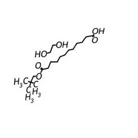 CC(C)(C)COC(=O)CCCCCCCCCCC(=O)O.OCCO